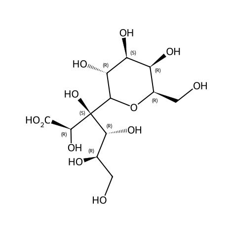 O=C(O)[C@H](O)[C@](O)(C1O[C@H](CO)[C@H](O)[C@H](O)[C@H]1O)[C@H](O)[C@H](O)CO